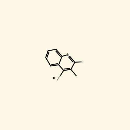 Cc1c(Cl)nc2ccccc2c1C(=O)O